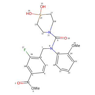 COC(=O)c1ccc(CN(C(=O)N2CCS(O)(O)CC2)c2ccccc2OC)c(F)c1